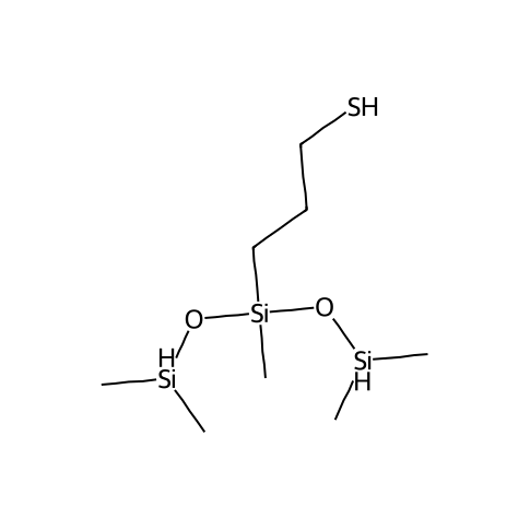 C[SiH](C)O[Si](C)(CCCS)O[SiH](C)C